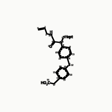 C=CCNC(=O)N(CCCCCCC)c1ccc(Sc2ccc(CC(=O)O)cc2)cc1